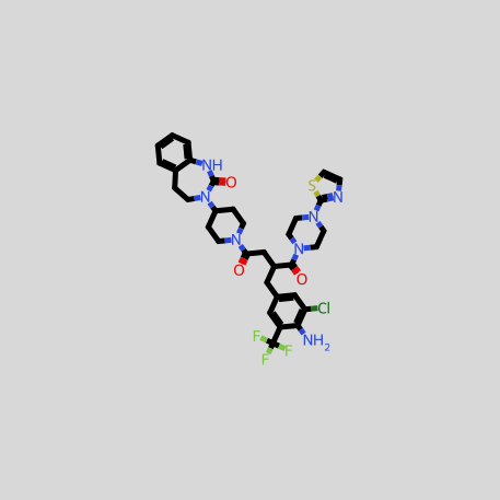 Nc1c(Cl)cc(CC(CC(=O)N2CCC(N3CCc4ccccc4NC3=O)CC2)C(=O)N2CCN(c3nccs3)CC2)cc1C(F)(F)F